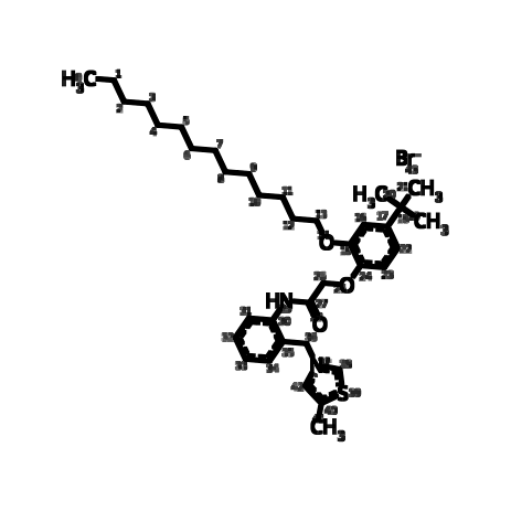 CCCCCCCCCCCCCCOc1cc(C(C)(C)C)ccc1OCC(=O)Nc1ccccc1C[n+]1csc(C)c1.[Br-]